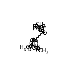 CC[C@@H]1COc2c(ccc3c2c(C(F)(F)F)cc(=O)n3CCCCCCCN2CCO[C@H](COc3cc(C)c(Br)cc3NC(=O)Nc3cnc(C)cn3)C2)N1CC(F)(F)F